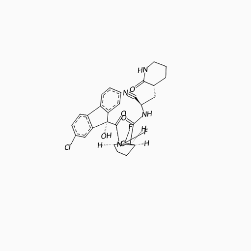 N#C[C@@H](C[C@H]1CCCNC1=O)NC(=O)[C@H]1[C@H]2CC[C@H](CC2(F)F)N1C(=O)[C@]1(O)c2ccccc2-c2ccc(Cl)cc21